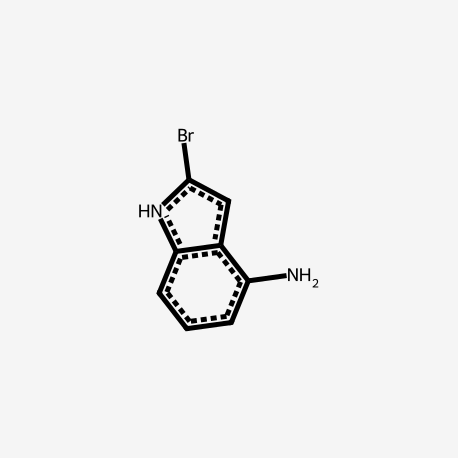 Nc1cccc2[nH]c(Br)cc12